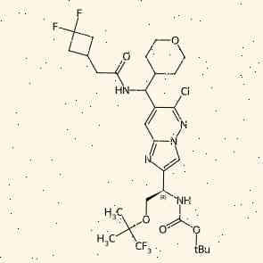 CC(C)(C)OC(=O)N[C@@H](COC(C)(C)C(F)(F)F)c1cn2nc(Cl)c(C(NC(=O)CC3CC(F)(F)C3)C3CCOCC3)cc2n1